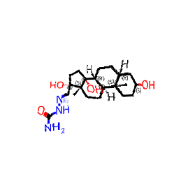 C[C@]12CC[C@H](O)C[C@H]1CC[C@@H]1[C@@H]2CC[C@]2(C)[C@@](O)(/C=N/NC(N)=O)CC[C@]12O